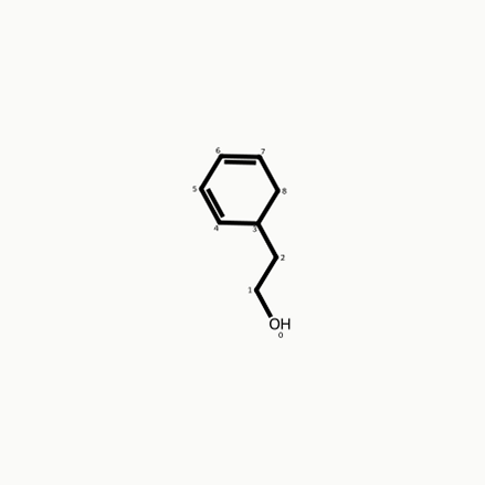 OCCC1C=CC=CC1